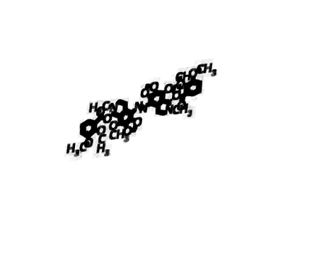 COc1cccc(C(=O)O[C@H]2c3c(c(N=Nc4c5c(c(OC)c6c4OCO6)[C@H](OC(=O)c4cccc(OC)c4OC)N(C)CC5)c4c(c3OC)OCO4)CCN2C)c1OC